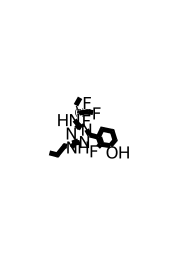 CCCNc1nc(N[C@H](CC)C(F)(F)F)nc(C2=C(F)C(O)CCC2)n1